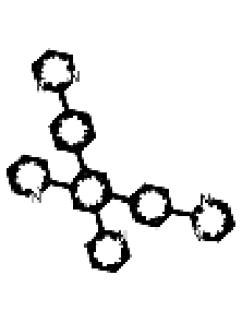 c1ccc(-c2cc(-c3ccccn3)c(-c3ccc(-c4ncccn4)cc3)cc2-c2ccc(-c3ncccn3)cc2)nc1